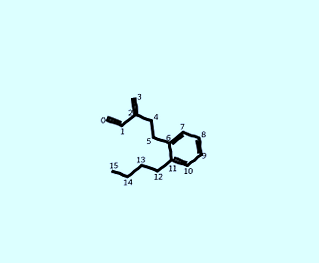 C=CC(=C)CCc1ccccc1CCCC